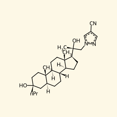 CCC[C@@]1(O)CC[C@@]2(C)[C@@H](CC[C@@H]3[C@@H]2CC[C@@]2(C)[C@H]3CC[C@@H]2[C@](C)(O)Cn2cc(C#N)cn2)C1